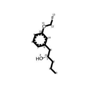 CCC[C@H](O)Cc1cccc(OCF)c1